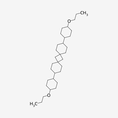 CCCOC1CCC(C2CCC3(CC2)CC2(CCC(C4CCC(OCCC)CC4)CC2)C3)CC1